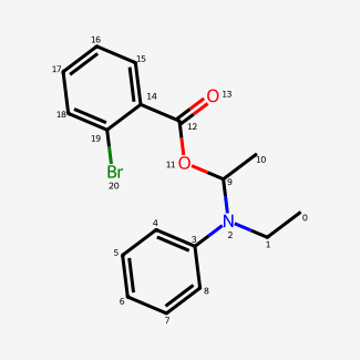 CCN(c1ccccc1)C(C)OC(=O)c1ccccc1Br